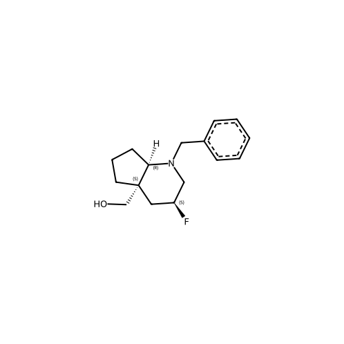 OC[C@]12CCC[C@H]1N(Cc1ccccc1)C[C@@H](F)C2